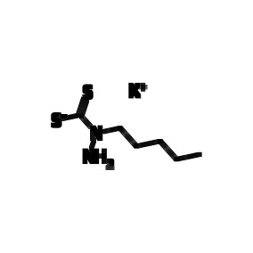 CCCCCN(N)C(=S)[S-].[K+]